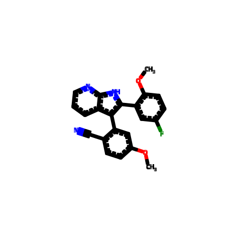 COc1ccc(C#N)c(-c2c(-c3cc(F)ccc3OC)[nH]c3ncccc23)c1